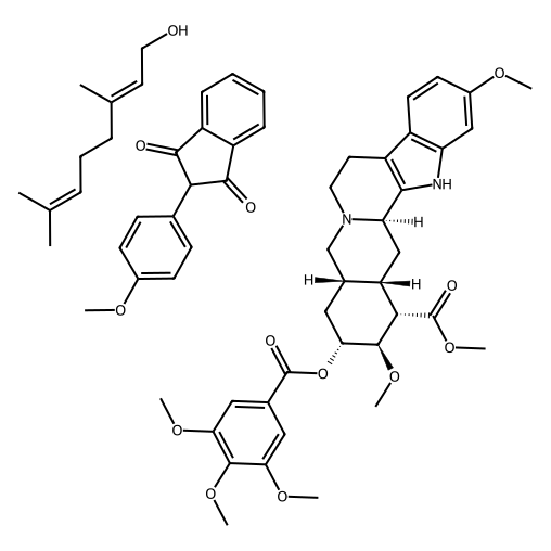 CC(C)=CCC/C(C)=C/CO.COC(=O)[C@H]1[C@H]2C[C@@H]3c4[nH]c5cc(OC)ccc5c4CCN3C[C@H]2C[C@@H](OC(=O)c2cc(OC)c(OC)c(OC)c2)[C@@H]1OC.COc1ccc(C2C(=O)c3ccccc3C2=O)cc1